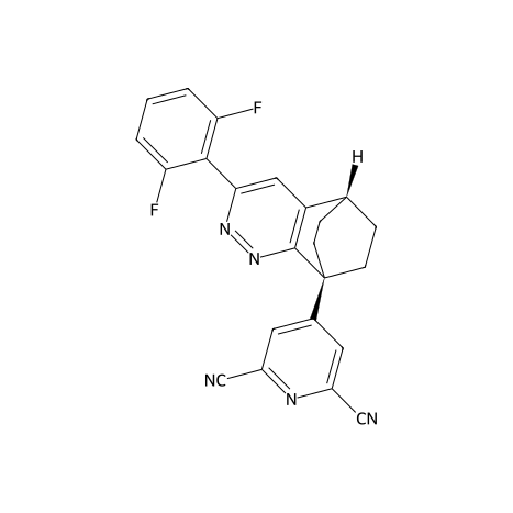 N#Cc1cc([C@]23CC[C@H](CC2)c2cc(-c4c(F)cccc4F)nnc23)cc(C#N)n1